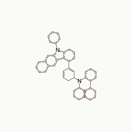 C1=CC(c2cccc3c2c2cc4ccccc4cc2n3-c2ccccc2)=CC(N(c2ccccc2)c2ccccc2-c2ccccc2)C1